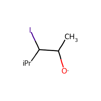 CC(C)C(I)C(C)[O]